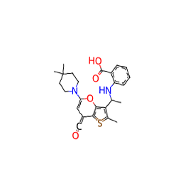 Cc1sc2c(c1C(C)Nc1ccccc1C(=O)O)OC(N1CCC(C)(C)CC1)=CC2=C=O